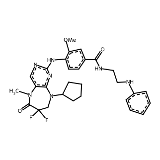 COc1cc(C(=O)NCCNc2ccccc2)ccc1Nc1ncc2c(n1)N(C1CCCC1)CC(F)(F)C(=O)N2C